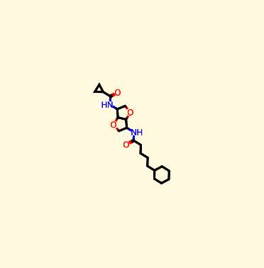 O=C(CCCCC1CCCCC1)NC1COC2C(NC(=O)C3CC3)COC12